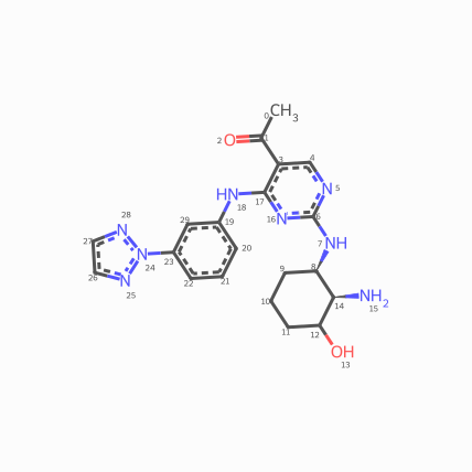 CC(=O)c1cnc(N[C@@H]2CCCC(O)[C@@H]2N)nc1Nc1cccc(-n2nccn2)c1